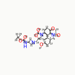 COc1ccc(CN2C(=O)COc3ccc(N4CC(CN5CC(NC(=O)OC(C)(C)C)C5)OC4=O)cc32)cc1